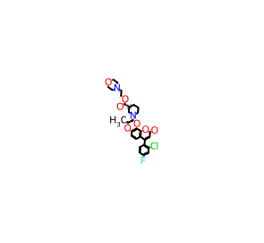 CC(Oc1ccc2c(-c3ccc(F)cc3Cl)cc(=O)oc2c1)C(=O)N1CCC[C@H](C(=O)OCCN2CCOCC2)C1